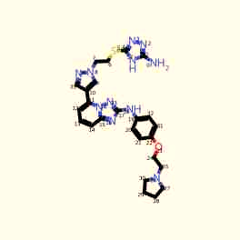 Nc1nnc(SCCn2cc(-c3cccc4nc(Nc5ccc(OCCN6CCCC6)cc5)nn34)cn2)[nH]1